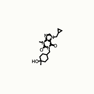 Cn1c(=O)n(CC2CCC(C)(O)CC2)c(=O)c2c1ncn2CC1CC1